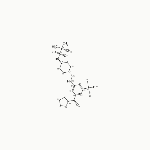 CC(C)(C)S(=O)(=O)N[C@H]1CC[C@H](CNc2cc(C(=O)N3CCCC3)cc(C(F)(F)F)c2)CC1